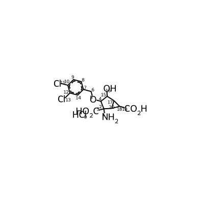 Cl.NC1(C(=O)O)C(OCc2ccc(Cl)c(Cl)c2)C(O)C2C(C(=O)O)C21